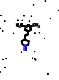 Cc1cc(C)cc(/C=C/C2CCNCC2)c1